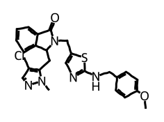 COc1ccc(CNc2ncc(CN3C(=O)c4ccccc4C3Cc3c(Cl)cnn3C)s2)cc1